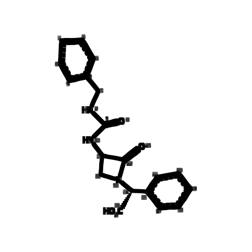 O=C(NCc1ccccc1)NC1CN([C@@H](C(=O)O)c2ccccc2)C1=O